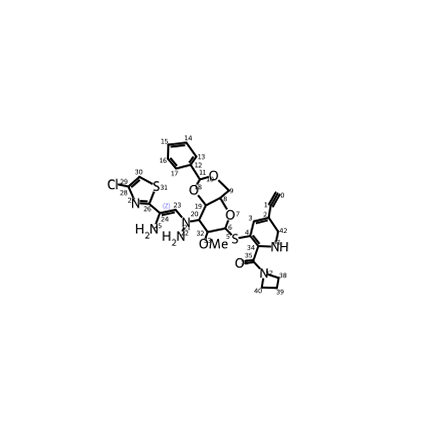 C#CC1=CC(SC2OC3COC(c4ccccc4)OC3C(N(N)/C=C(\N)c3nc(Cl)cs3)C2OC)=C(C(=O)N2CCC2)NC1